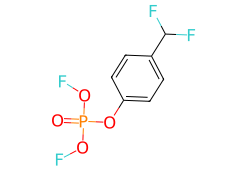 O=P(OF)(OF)Oc1ccc(C(F)F)cc1